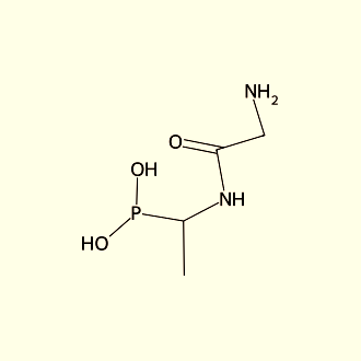 CC(NC(=O)CN)P(O)O